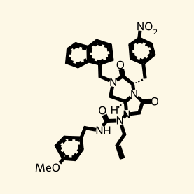 C=CCN(C(=O)NCc1ccc(OC)cc1)N1CC(=O)N2[C@@H](Cc3ccc([N+](=O)[O-])cc3)C(=O)N(Cc3cccc4ccccc34)C[C@@H]21